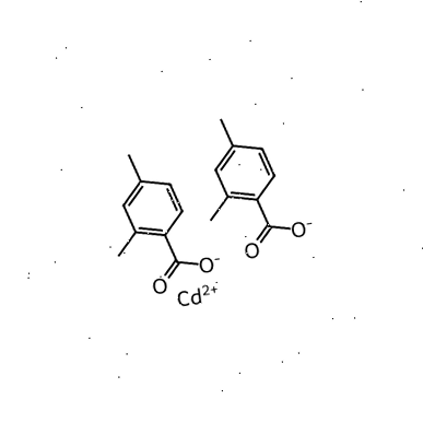 Cc1ccc(C(=O)[O-])c(C)c1.Cc1ccc(C(=O)[O-])c(C)c1.[Cd+2]